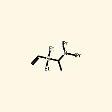 C=C[Si](CC)(CC)C(C)N(C(C)C)C(C)C